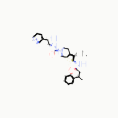 CC(CC(=O)Nc1sc2c(c1C#N)CCN(C(=O)NCCc1cccnc1)C2)c1ccccc1